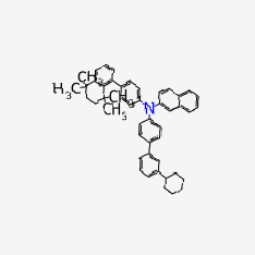 CC1(C)CCC(C)(C)c2c(-c3ccc(N(c4ccc(-c5cccc(C6CCCCC6)c5)cc4)c4ccc5ccccc5c4)cc3)cccc21